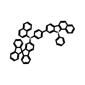 c1ccc(-n2c3cc(-c4ccc(N(c5ccc6c(c5)C5(c7ccccc7-c7ccccc75)c5ccccc5-6)c5cccc6ccccc56)cc4)ccc3c3ccc4ccccc4c32)cc1